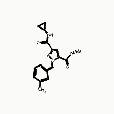 CNC(=O)c1cc(C(=O)NC2CC2)nn1Cc1cccc(C)c1